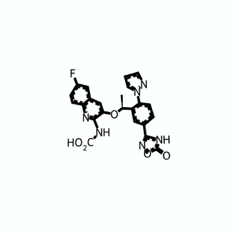 C[C@H](Oc1cc2cc(F)ccc2nc1NC(=O)O)c1cc(-c2noc(=O)[nH]2)ccc1-n1cccn1